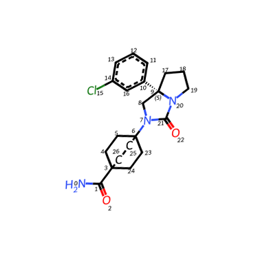 NC(=O)C12CCC(N3C[C@@]4(c5cccc(Cl)c5)CCCN4C3=O)(CC1)CC2